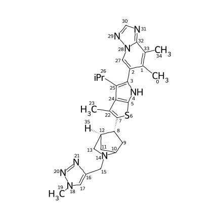 Cc1c(-c2[nH]c3sc([C@@H]4CC5C[C@H]4CN5Cc4cn(C)nn4)c(C)c3c2C(C)C)cn2ncnc2c1C